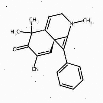 CN1CC=C2C(C)(C)C(=O)C(C#N)=C[C@@]23C(c2ccccc2)=C13